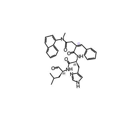 CC(C)C[C@@H](C=O)NC(=O)[C@H](Cc1c[nH]cn1)NC(=O)/C(=C\c1ccccc1)CC(=O)N(C)c1cccc2ccccc12